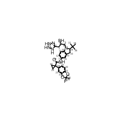 BC(CC1=NNNN1)CN1c2ccc(NC(=O)C3(c4ccc5c(c4)OC(F)(F)O5)CC3)cc2CC1C(C)(C)C